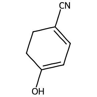 N#CC1=CC=C(O)CC1